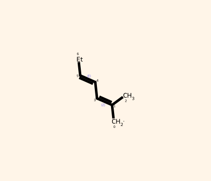 [CH2]/C(C)=C/C=C/CC